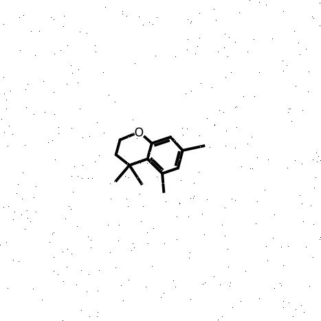 Cc1cc(C)c2c(c1)OCCC2(C)C